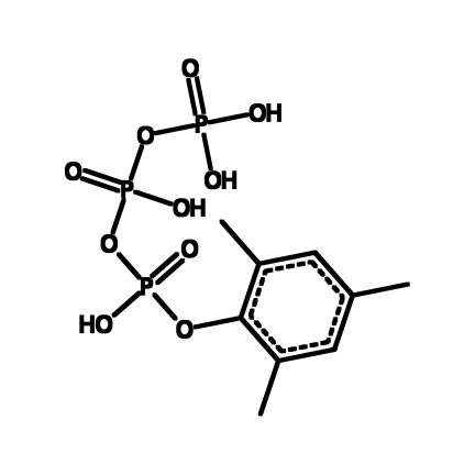 Cc1cc(C)c(OP(=O)(O)OP(=O)(O)OP(=O)(O)O)c(C)c1